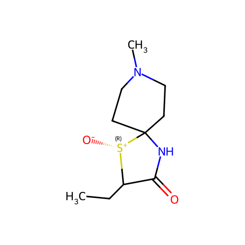 CCC1C(=O)NC2(CCN(C)CC2)[S@@+]1[O-]